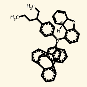 CCCC(CC)c1ccc(N(c2ccc3c(c2)-c2c4cccc2-c2cccc-3c2-c2ccccc2-4)c2cccc3c2[C@@H]2C=CC=CC2S3)cc1